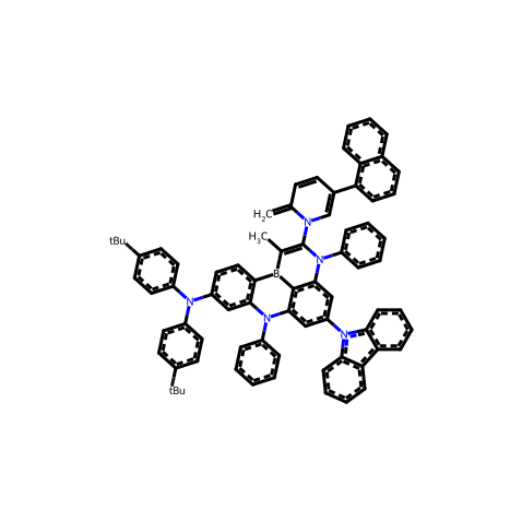 C=C1C=CC(c2cccc3ccccc23)=CN1C1=C(C)B2c3ccc(N(c4ccc(C(C)(C)C)cc4)c4ccc(C(C)(C)C)cc4)cc3N(c3ccccc3)c3cc(-n4c5ccccc5c5ccccc54)cc(c32)N1c1ccccc1